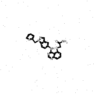 NC(=O)COc1cccc2ncnc(Nc3ccc4c(cnn4Cc4ccccn4)c3)c12